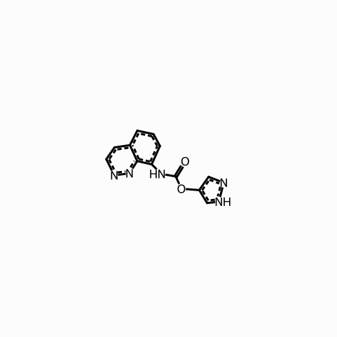 O=C(Nc1cccc2ccnnc12)Oc1cn[nH]c1